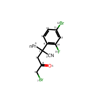 CCCC(C#N)(CC(=O)CBr)c1ccc(Br)cc1F